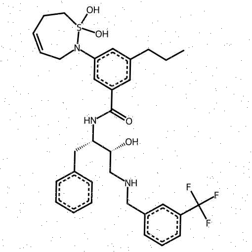 CCCc1cc(C(=O)N[C@@H](Cc2ccccc2)[C@H](O)CNCc2cccc(C(F)(F)F)c2)cc(N2CC=CCCS2(O)O)c1